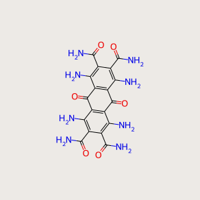 NC(=O)c1c(N)c2c(c(N)c1C(N)=O)C(=O)c1c(N)c(C(N)=O)c(C(N)=O)c(N)c1C2=O